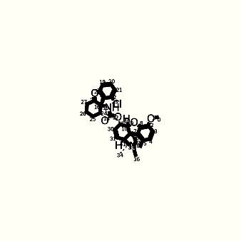 COc1ccc(C)c2c1O[C@H]1[C@@H](OC(=O)NC3(c4ccccc4Cl)CCCCC3=O)C=C[C@H]3[C@@H](C)N(C)CC[C@@]231